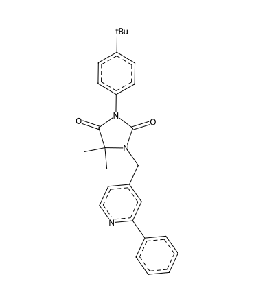 CC(C)(C)c1ccc(N2C(=O)N(Cc3ccnc(-c4ccccc4)c3)C(C)(C)C2=O)cc1